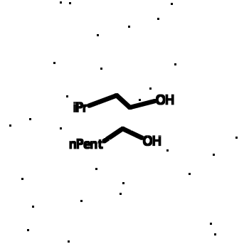 CC(C)CCO.CCCCCCO